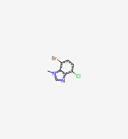 Cn1cnc2c(Cl)ccc(Br)c21